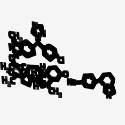 CC(=O)O[C@]1(C(C)=O)CC[C@H]2[C@@H]3C=C(C)C4=CC(=O)CC[C@]4(C)[C@H]3CC[C@@]21C.Cn1nnc2ccc([C@H](c3ccc(Cl)cc3)n3cncn3)cc21.N#Cc1ccc(C2CCCc3cncn32)cc1